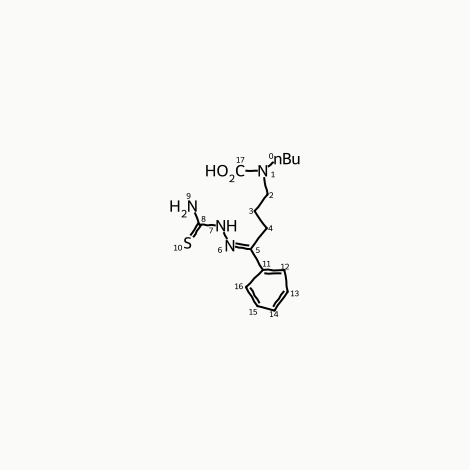 CCCCN(CCCC(=NNC(N)=S)c1ccccc1)C(=O)O